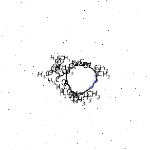 COC1CC2CCC(C)C(O)(O2)C(=O)C(=O)N2CCCCC2C(=O)OC(C(C)CC(C)CCC(OC(=O)C2(C)COC(C)(C)OC2)C(C)OC)CC(=O)C(C)/C=C(\C)C(O)C(OC)C(=O)C(C)CC(C)/C=C/C=C/C=C/1C